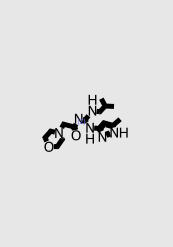 Cc1cc(N/C(=N\C(=O)CN2CCOCC2)NCC(C)C)n[nH]1